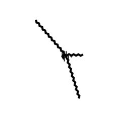 CCCCCCCCCCCCCCCCCCCn1cc[n+](CCCCCCCCCCCCCCCCCC)c1CCCCCCC